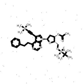 CC(=O)O[C@H]1C[C@H](n2cc(C#C[Si](C)(C)C)c3c(CCc4ccccc4)ncnc32)O[C@H]1CO[Si](C)(C)C(C)(C)C